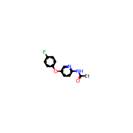 CCC(=O)Nc1ccc(Oc2ccc(F)cc2)cn1